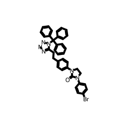 O=C1N(c2ccc(Br)cc2)CCN1c1ccc(CCc2nnnn2C(c2ccccc2)(c2ccccc2)c2ccccc2)cc1